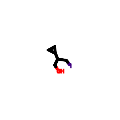 OCC(CI)C1CC1